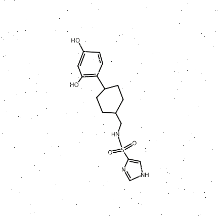 O=S(=O)(NCC1CCC(c2ccc(O)cc2O)CC1)c1c[nH]cn1